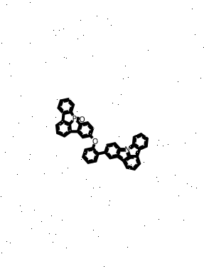 O=P12c3ccccc3-c3cccc(c31)-c1cc(Oc3ccccc3-c3ccc4c(c3)c3cccc5c6ccccc6n4c53)ccc12